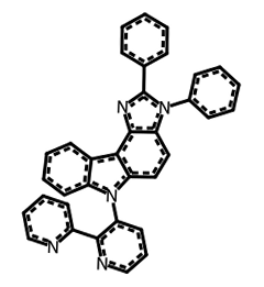 c1ccc(-c2nc3c4c5ccccc5n(-c5cccnc5-c5ccccn5)c4ccc3n2-c2ccccc2)cc1